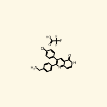 NCc1ccc(-c2nc3cc[nH]c(=O)c3cc2-c2ccc(Cl)cc2)cc1.O=C(O)C(F)(F)F